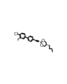 CCCC[C@H]1CO[C@H](C#Cc2ccc(-c3ccc(Cl)c(F)c3)cc2)OC1